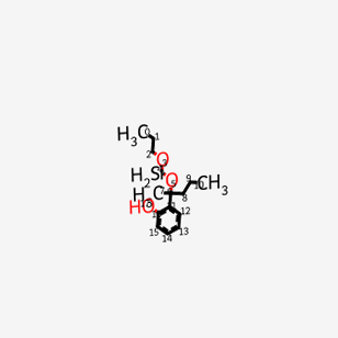 CCCO[SiH2]OC(C)(CCC)c1ccccc1O